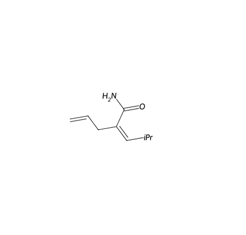 C=CCC(=CC(C)C)C(N)=O